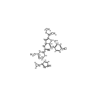 CCN(C)c1nc2nc(N3C[C@@H](C)O[C@@H](c4c[nH]nc4C4CC4)C3)nc(-c3ccc(Cl)cc3F)c2s1